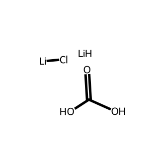 O=C(O)O.[LiH].[Li][Cl]